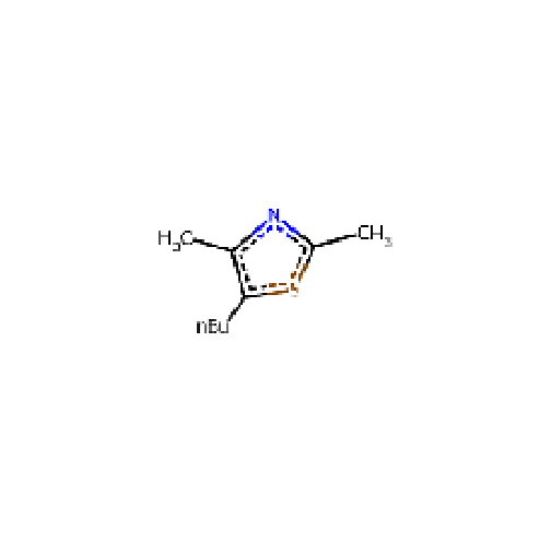 [CH2]CCCc1sc(C)nc1C